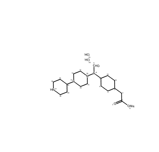 COC(=O)CC1CCC(N(C=O)N2CCN(C3CCNCC3)CC2)CC1.Cl.Cl